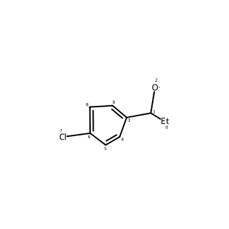 CCC([O])c1ccc(Cl)cc1